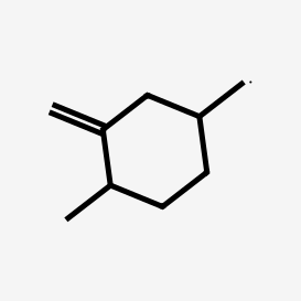 [CH2]C1CCC(C)C(=C)C1